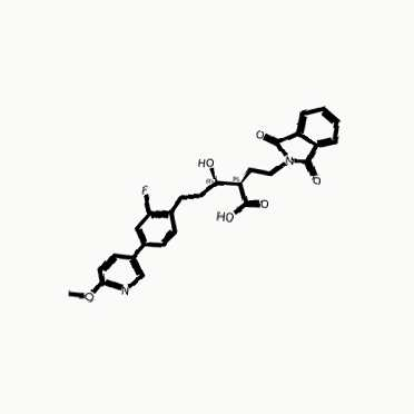 COc1ccc(-c2ccc(CC[C@@H](O)[C@@H](CCN3C(=O)c4ccccc4C3=O)C(=O)O)c(F)c2)cn1